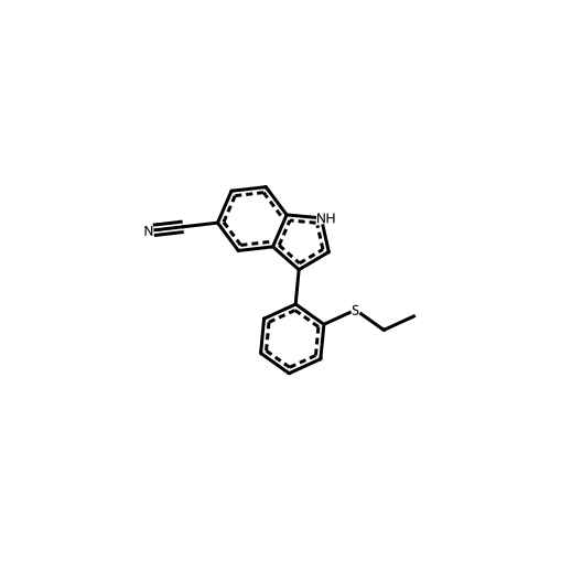 CCSc1ccccc1-c1c[nH]c2ccc(C#N)cc12